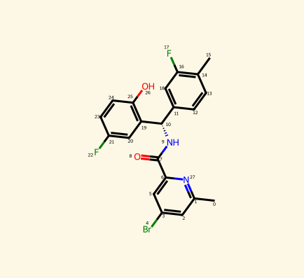 Cc1cc(Br)cc(C(=O)N[C@@H](c2ccc(C)c(F)c2)c2cc(F)ccc2O)n1